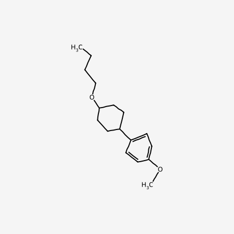 CCCCOC1CCC(c2ccc(OC)cc2)CC1